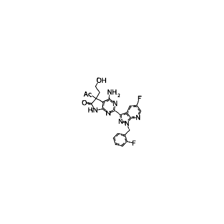 CC(=O)C1(CCO)C(=O)Nc2nc(-c3nn(Cc4ccccc4F)c4ncc(F)cc34)nc(N)c21